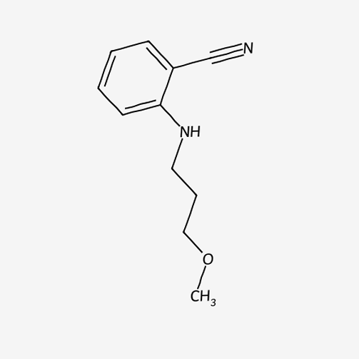 COCCCNc1ccccc1C#N